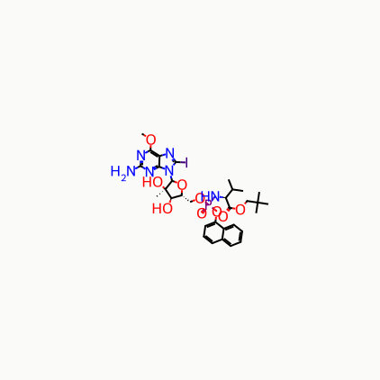 COc1nc(N)nc2c1nc(I)n2C1O[C@H](COP(=O)(N[C@H](C(=O)OCC(C)(C)C)C(C)C)Oc2cccc3ccccc23)[C@@H](O)[C@@]1(C)O